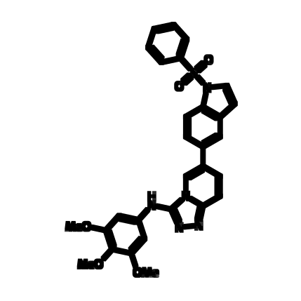 COc1cc(Nc2nnc3ccc(-c4ccc5c(ccn5S(=O)(=O)c5ccccc5)c4)cn23)cc(OC)c1OC